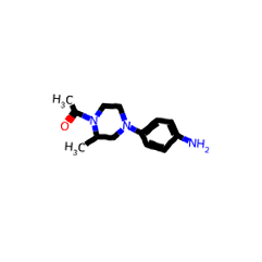 CC(=O)N1CCN(c2ccc(N)cc2)CC1C